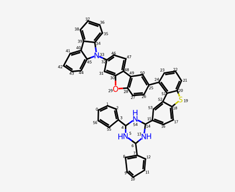 c1ccc(C2NC(c3ccccc3)NC(c3ccc4sc5cccc(-c6ccc7oc8cc(-n9c%10ccccc%10c%10ccccc%109)ccc8c7c6)c5c4c3)N2)cc1